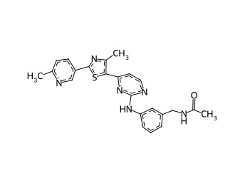 CC(=O)NCc1cccc(Nc2nccc(-c3sc(-c4ccc(C)nc4)nc3C)n2)c1